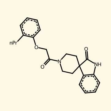 CCCc1ccccc1OCC(=O)N1CCC2(CC1)C(=O)Nc1ccccc12